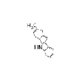 CC1=CC=C2C(=CC3=C2NC2CC=CC=C32)C1